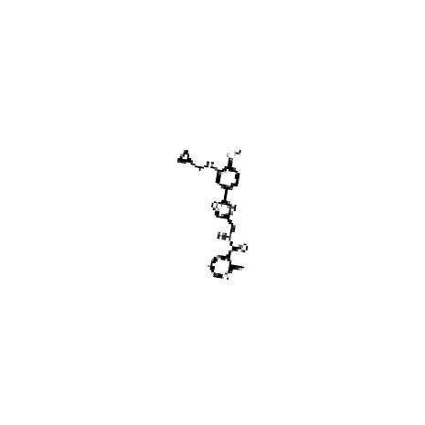 COc1ccc(-c2nc(CNC(=O)c3cccnc3C)co2)cc1OCC1CC1